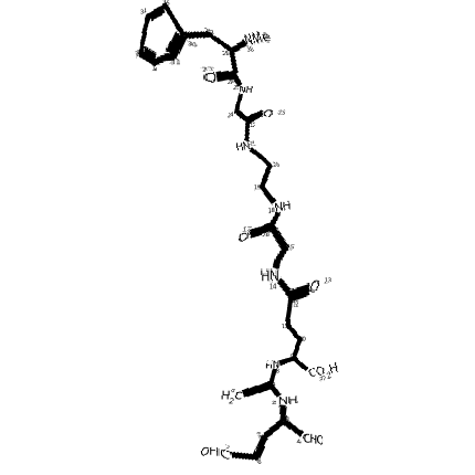 C=C(NC(C=O)CCC=O)NC(CCC(=O)NCC(=O)NCCNC(=O)CNC(=O)C(Cc1ccccc1)NC)C(=O)O